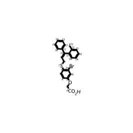 O=C(O)COc1ccc(SCC=C(c2ccccc2)c2ccccc2I)c(Br)c1